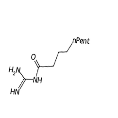 CCCCCCCCC(=O)NC(=N)N